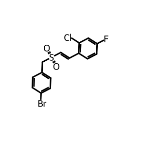 O=S(=O)(/C=C/c1ccc(F)cc1Cl)Cc1ccc(Br)cc1